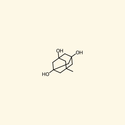 CC12CC3(O)CC(O)(C1)CC(O)(C2)C3